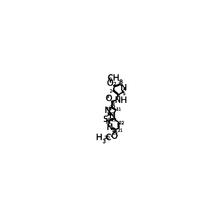 COc1cncc(NC(=O)c2cn3c(n2)sc2nc(OC)ccc23)c1